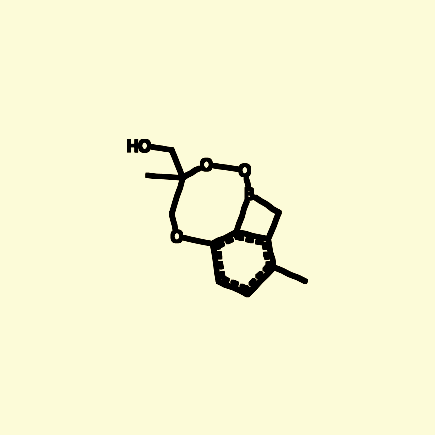 Cc1ccc2c3c1CB3OOC(C)(CO)CO2